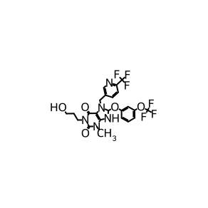 Cn1c2c(c(=O)n(CCCO)c1=O)N(Cc1ccc(C(F)(F)F)nc1)C(Oc1cccc(OC(F)(F)F)c1)N2